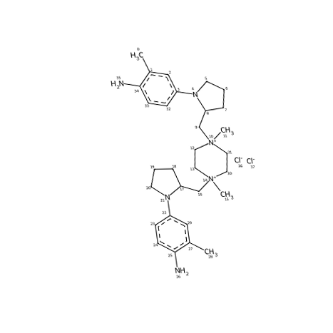 Cc1cc(N2CCCC2C[N+]2(C)CC[N+](C)(CC3CCCN3c3ccc(N)c(C)c3)CC2)ccc1N.[Cl-].[Cl-]